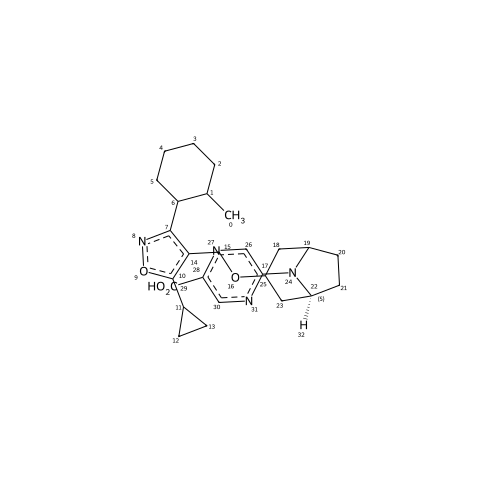 CC1CCCCC1c1noc(C2CC2)c1COC1CC2CC[C@@H](C1)N2c1cnc(C(=O)O)cn1